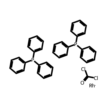 O=C(Cl)Cl.[Rh].c1ccc(P(c2ccccc2)c2ccccc2)cc1.c1ccc(P(c2ccccc2)c2ccccc2)cc1